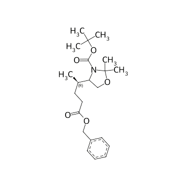 C[C@H](CCC(=O)OCc1ccccc1)C1COC(C)(C)N1C(=O)OC(C)(C)C